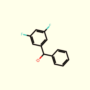 [O]C(c1ccccc1)c1cc(F)cc(F)c1